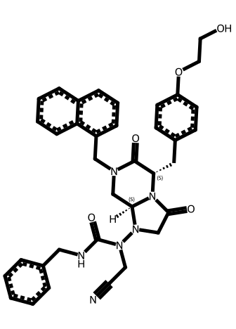 N#CCN(C(=O)NCc1ccccc1)N1CC(=O)N2[C@@H](Cc3ccc(OCCO)cc3)C(=O)N(Cc3cccc4ccccc34)C[C@@H]21